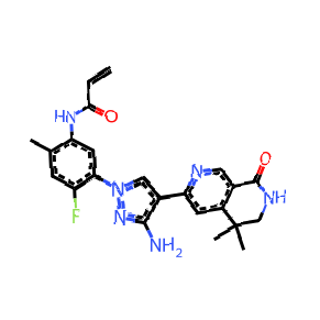 C=CC(=O)Nc1cc(-n2cc(-c3cc4c(cn3)C(=O)NCC4(C)C)c(N)n2)c(F)cc1C